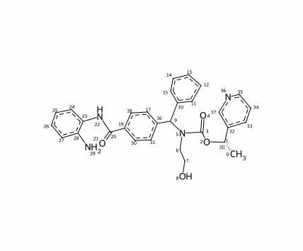 C[C@H](OC(=O)N(CCO)C(c1ccccc1)c1ccc(C(=O)Nc2ccccc2N)cc1)c1cccnc1